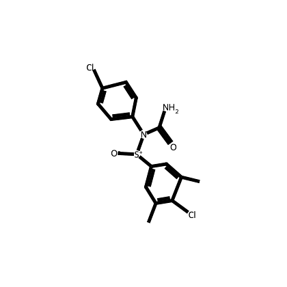 Cc1cc([S+]([O-])N(C(N)=O)c2ccc(Cl)cc2)cc(C)c1Cl